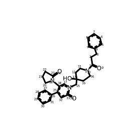 O=C(CCc1ccccc1)N1CCC(O)(Cn2cc(N3CCCC3=O)c(-c3ccccc3)cc2=O)CC1